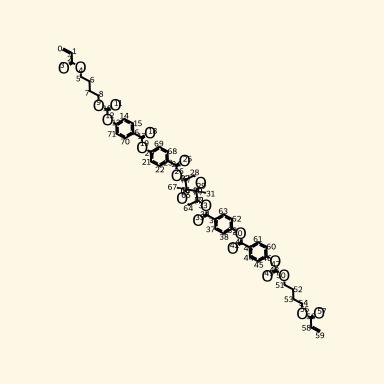 C=CC(=O)OCCCCOC(=O)Oc1ccc(C(=O)Oc2ccc(C(=O)O[C@H]3CO[C@]4(C)[C@H](OC(=O)c5ccc(OC(=O)c6ccc(OC(=O)OCCCCOC(=O)C=C)cc6)cc5)CO[C@]34C)cc2)cc1